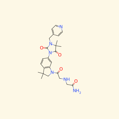 CC1(C)CN(C(=O)CNCC(N)=O)c2cc(N3C(=O)N(Cc4ccncc4)C(C)(C)C3=O)ccc21